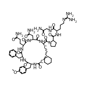 COc1ccc(CC2NC(=O)CC3(CCCCC3)SSCC(C(=O)N3CCCC3C(=O)NC(CCCN=C(N)N)C(=O)NCC(N)=O)NC(=O)C(CC(N)=O)NC(=O)C(CCC(N)=O)NC(=O)C(Cc3ccccc3)NC2=O)cc1